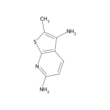 Cc1sc2nc(N)ccc2c1N